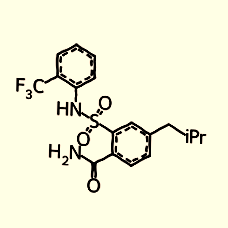 CC(C)Cc1ccc(C(N)=O)c(S(=O)(=O)Nc2ccccc2C(F)(F)F)c1